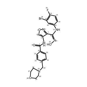 O=C(Nc1nonc1/C(=N\O)Nc1ccc(F)c(Br)c1)c1ccc(CN2CCOCC2)cc1